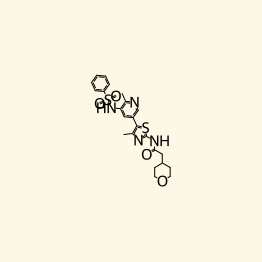 Cc1ncc(-c2sc(NC(=O)CC3CCOCC3)nc2C)cc1NS(=O)(=O)c1ccccc1